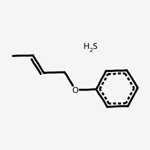 CC=CCOc1ccccc1.S